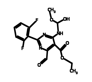 CCOC(=O)c1c(C=O)nc(-c2c(F)cccc2F)nc1NC(O)OC